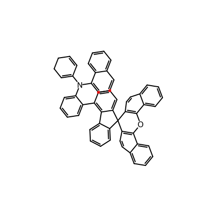 C1=CC(N(c2ccccc2-c2cccc3c2-c2ccccc2C32c3ccc4ccccc4c3Oc3c2ccc2ccccc32)c2cccc3ccccc23)=CCC1